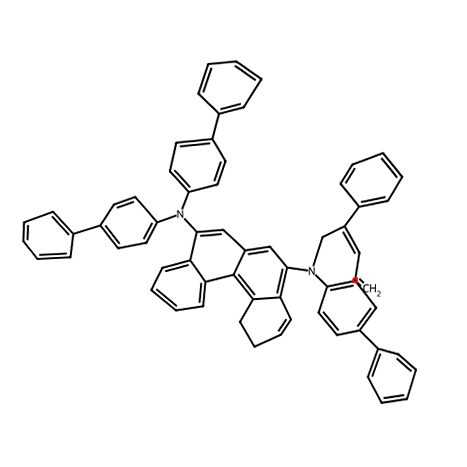 C=C/C=C(\CN(c1ccc(-c2ccccc2)cc1)c1cc2cc(N(c3ccc(-c4ccccc4)cc3)c3ccc(-c4ccccc4)cc3)c3ccccc3c2c2c1C=CCC2)c1ccccc1